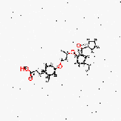 CCc1ccc(OC(C)CCOc2ccc(CCC(=O)O)c(C)c2)c(C(=O)C2CCCC2)c1